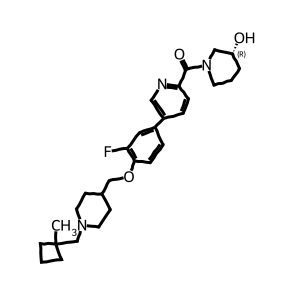 CC1(CN2CCC(COc3ccc(-c4ccc(C(=O)N5CCC[C@@H](O)C5)nc4)cc3F)CC2)CCC1